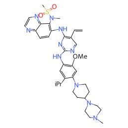 C=Cc1cnc(Nc2cc(C(C)C)c(N3CCC(N4CCN(C)CC4)CC3)cc2OC)nc1Nc1ccc2nccnc2c1N(C)S(C)(=O)=O